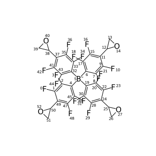 Fc1c(F)c([B-](c2c(F)c(F)c(C3CO3)c(F)c2F)(c2c(F)c(F)c(C3CO3)c(F)c2F)c2c(F)c(F)c(C3CO3)c(F)c2F)c(F)c(F)c1C1CO1